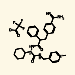 C[n+]1ccc(CNC(=O)[C@@H](NC(=O)C(Cc2ccc(C(=N)N)cc2)c2ccccc2)C2CCCCC2)cc1.O=C([O-])C(F)(F)F